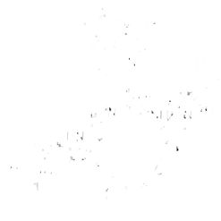 COc1cnc(O[C@@H]2C[C@H]3C(=O)N[C@]4(C(=O)NS(=O)(=O)C5(CF)CC5)C[C@H]4/C=C\CC[C@@H](C)O[C@@H](C)[C@H](NC(=O)OC(C)(C)C(F)F)C(=O)N3C2)c2ccccc12